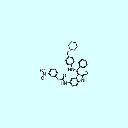 O=C(Cc1cccc([N+](=O)[O-])c1)Nc1ccc2c(c1)C(=C(Nc1ccc(CN3CCCCC3)cc1)c1ccccc1)C(=O)N2